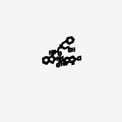 O=C(CN(CCO)Cc1ccccc1)N[C@@H]1c2ccccc2C[C@H]1NC(=O)c1cc2cc(Cl)sc2[nH]1